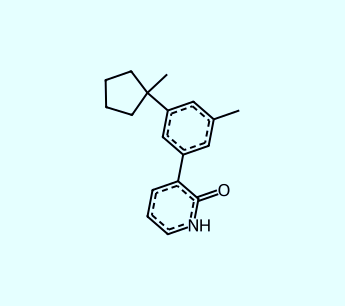 Cc1cc(-c2ccc[nH]c2=O)cc(C2(C)CCCC2)c1